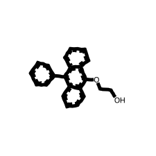 OCCOc1c2ccccc2c(-c2ccccc2)c2ccccc12